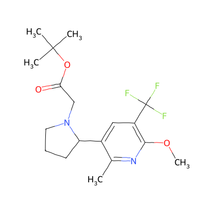 COc1nc(C)c(C2CCCN2CC(=O)OC(C)(C)C)cc1C(F)(F)F